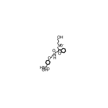 O=C(NO)c1ccc(OCCNC(=O)c2oc3ccccc3c2C[S+]([O-])CCCO)cc1